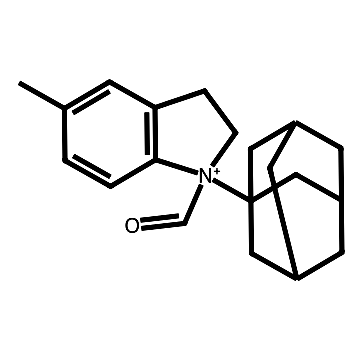 Cc1ccc2c(c1)CC[N+]2(C=O)C12CC3CC(CC(C3)C1)C2